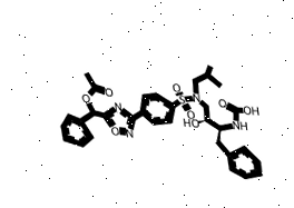 CC(=O)OC(c1ccccc1)c1nc(-c2ccc(S(=O)(=O)N(CC(C)C)C[C@@H](O)[C@H](Cc3ccccc3)NC(=O)O)cc2)no1